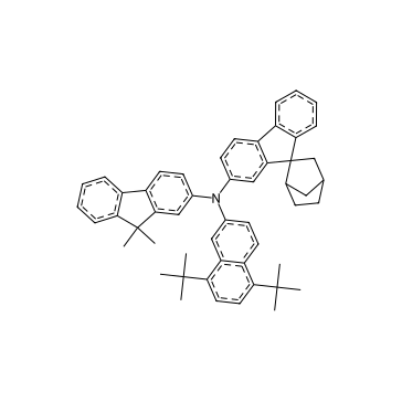 CC(C)(C)c1ccc(C(C)(C)C)c2cc(N(c3ccc4c(c3)C(C)(C)c3ccccc3-4)c3ccc4c(c3)C3(CC5CCC3C5)c3ccccc3-4)ccc12